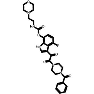 O=C(NCCN1CCOCC1)Oc1ccc(F)c2c(C(=O)C(=O)N3CCN(C(=O)c4ccccc4)CC3)c[nH]c12